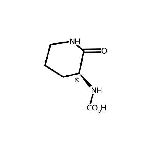 O=C(O)N[C@H]1CCCNC1=O